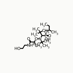 CCC(C)OP(=O)(O)C(N(OC(C)C(=O)NCCO)C(C)(C)C)C(C)(C)C